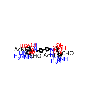 CC(=O)N[C@H]1[C@H]([C@H](OC(=O)NCc2ccc(-c3ccc(CNC(=O)O[C@@H]([C@@H]4OC(C=O)=C[C@H](NC(=N)N)[C@H]4NC(C)=O)[C@H](O)CO)cc3)cc2)[C@H](O)CO)OC(C=O)=C[C@@H]1NC(=N)N